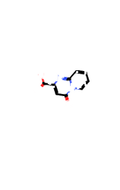 O=C(O)c1cc(=O)n2ccccc2n1